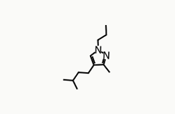 CCCn1cc(CCC(C)C)c(C)n1